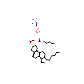 CCCCCCCCCCCCCCNC(=O)O[C@@H](COP(=O)([O-])OCC[N+](C)(C)C)C(OC1CC[C@@]2(C)C(=CCC3C2CC[C@@]2(C)C3CC[C@@H]2[C@H](C)CCCC(C)C)C1)C(=O)O